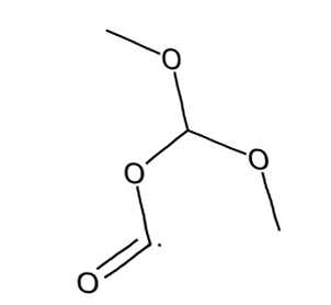 COC(OC)O[C]=O